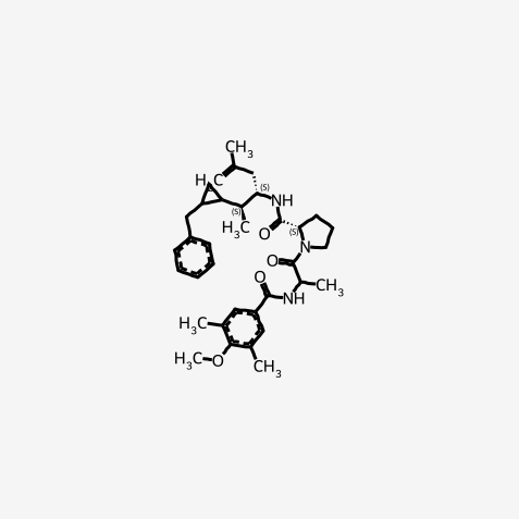 C=C(C)C[C@H](NC(=O)[C@@H]1CCCN1C(=O)C(C)NC(=O)c1cc(C)c(OC)c(C)c1)[C@@H](C)C1CC1Cc1ccccc1